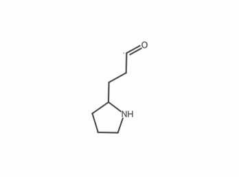 O=[C]CCC1CCCN1